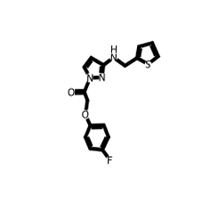 O=C(COc1ccc(F)cc1)n1ccc(NCc2cccs2)n1